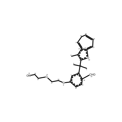 Cc1c(C(C)(C)c2cc(OCCOCCN=O)ccc2C=O)oc2c1=CCC=CC=2